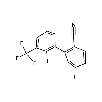 N#Cc1ccc(I)cc1-c1cccc(C(F)(F)F)c1I